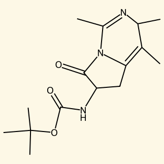 CC1=NC(C)C(C)=C2CC(NC(=O)OC(C)(C)C)C(=O)N12